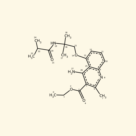 CCOC(=O)c1c(C)nc2cccc(OCC(C)(C)NC(=O)C(C)C)c2c1N